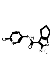 Nc1sc2c(c1C(=O)Nc1ccc(Cl)nc1)CCC2